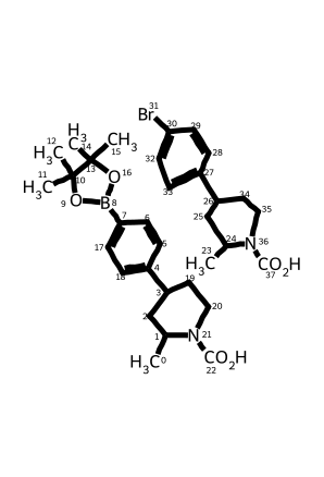 CC1CC(c2ccc(B3OC(C)(C)C(C)(C)O3)cc2)CCN1C(=O)O.CC1CC(c2ccc(Br)cc2)CCN1C(=O)O